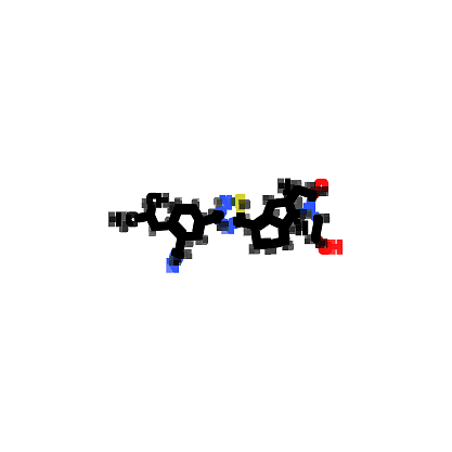 CC(C)Cc1ccc(-c2nsc(-c3cccc4c3C[C@H]3CC(=O)N(CCO)[C@@H]43)n2)cc1C#N